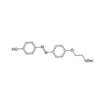 CCCCCCCCCCCCOc1ccc(N=Nc2ccc(O)cc2)cc1